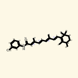 CC1=C(/C=C/C(C)=C/C=C/C(C)=C/C(=O)Nc2cccc(Cl)c2)C(C)(C)CCC1C